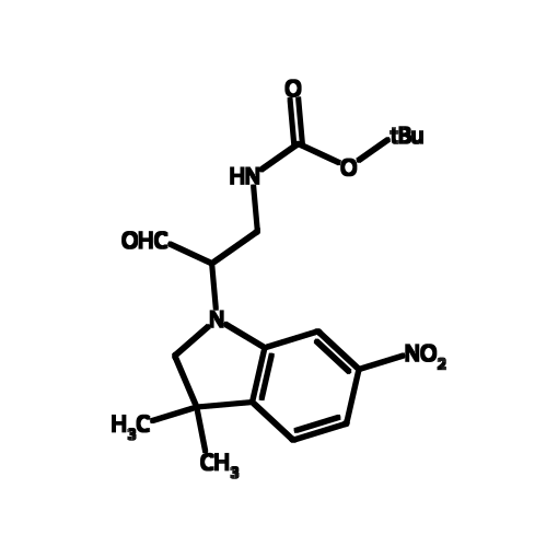 CC(C)(C)OC(=O)NCC(C=O)N1CC(C)(C)c2ccc([N+](=O)[O-])cc21